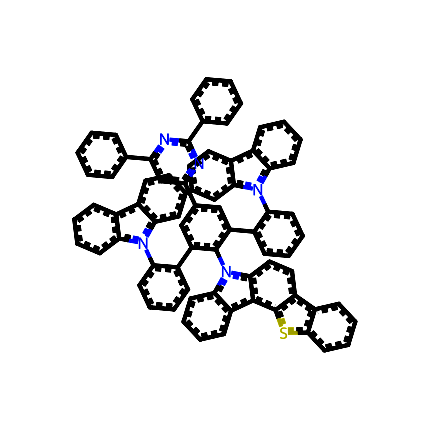 c1ccc(-c2cc(-c3cc(-c4ccccc4-n4c5ccccc5c5ccccc54)c(-n4c5ccccc5c5c6sc7ccccc7c6ccc54)c(-c4ccccc4-n4c5ccccc5c5ccccc54)c3)nc(-c3ccccc3)n2)cc1